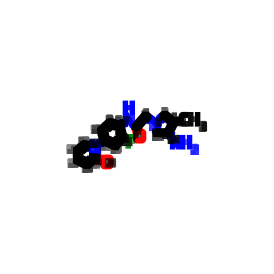 CC1CN(CC(=O)Nc2ccc(-n3ccccc3=O)cc2F)CC1N